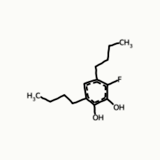 CCCCc1cc(CCCC)c(F)c(O)c1O